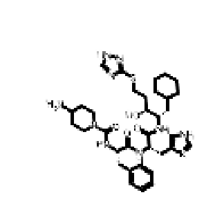 NC1CCN(C(=O)N[C@@H](Cc2ccccc2)C(=O)N[C@@H](Cc2c[nH]cn2)C(=O)N[C@@H](CC2CCCCC2)[C@@H](O)CCSc2nc[nH]n2)CC1